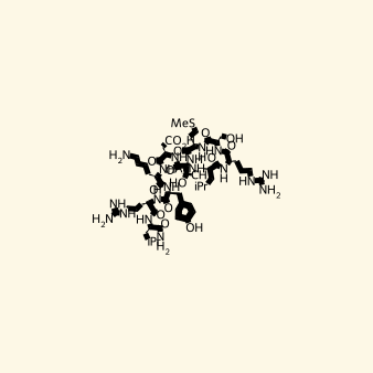 CSCC[C@H](NC(=O)[C@H](CO)NC(=O)[C@H](CCCNC(=N)N)NC(=O)[C@H](CC(C)C)NC(C)=O)C(=O)N[C@H](C(=O)N[C@@H](CC(=O)O)C(=O)N[C@@H](CCCCN)C(=O)N[C@@H](Cc1ccc(O)cc1)C(=O)N[C@@H](CCCNC(=N)N)C(=O)N[C@@H](CC(C)C)C(N)=O)[C@@H](C)O